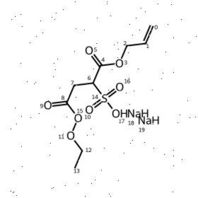 C=CCOC(=O)C(CC(=O)OOCC)S(=O)(=O)O.[NaH].[NaH]